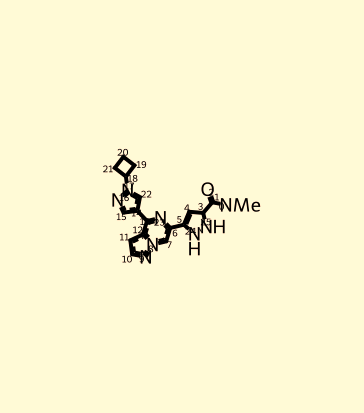 CNC(=O)C1C=C(c2cn3nccc3c(-c3cnn(C4CCC4)c3)n2)NN1